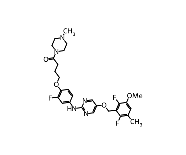 COc1cc(C)c(F)c(COc2cnc(Nc3ccc(OCCCC(=O)N4CCN(C)CC4)c(F)c3)nc2)c1F